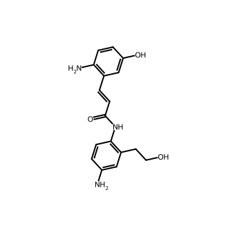 Nc1ccc(NC(=O)C=Cc2cc(O)ccc2N)c(CCO)c1